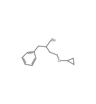 CCC(C)[C](CCOC1CC1)Cc1ccccc1